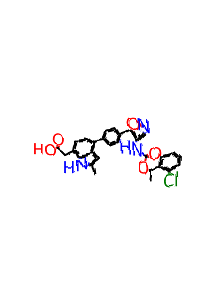 Cc1cc2c(-c3ccc(-c4oncc4NC(=O)OC(C)c4ccccc4Cl)cc3)ccc(CC(=O)O)c2[nH]1